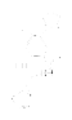 O=S1(=O)NC(C2CC3C=CC2C3)Nc2cc(Cl)c(-c3cccs3)cc21